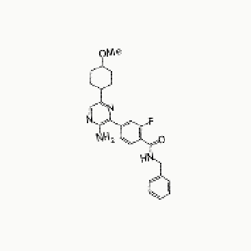 COC1CCC(c2cnc(N)c(-c3ccc(C(=O)NCc4ccccc4)c(F)c3)n2)CC1